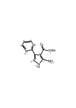 COC(=O)c1c(-c2ncccn2)n[nH]c1N